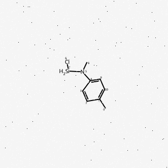 Cc1ccc(N(C)[SiH2]Cl)cc1